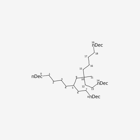 CCCCCCCCCCCCCCC(CCCCCCCCCCCC)CC(C)(CCCCCCCCCCCC)CCCCCCCCCCCCCC